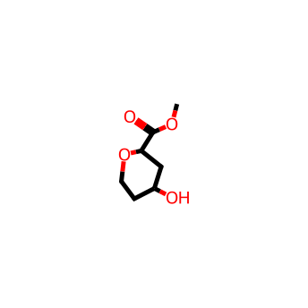 COC(=O)C1CC(O)CCO1